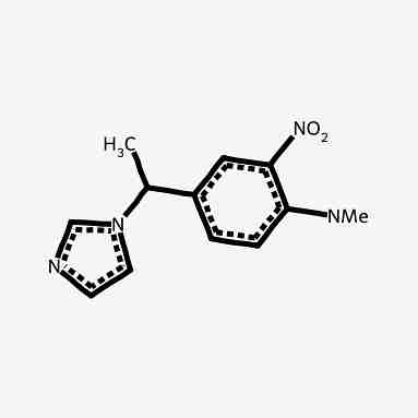 CNc1ccc(C(C)n2ccnc2)cc1[N+](=O)[O-]